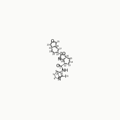 O=C(NC1C2CCN(CC2)C1I)c1cccc2oc(-c3ccc4cocc4c3)nc12